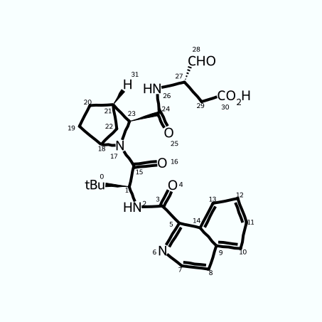 CC(C)(C)[C@H](NC(=O)c1nccc2ccccc12)C(=O)N1C2CC[C@@H](C2)[C@H]1C(=O)N[C@H](C=O)CC(=O)O